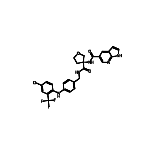 O=C(N[C@@]1(C(=O)NCc2ccc(Nc3ccc(Cl)cc3C(F)(F)F)cc2)CCOC1)c1cnc2[nH]ccc2c1